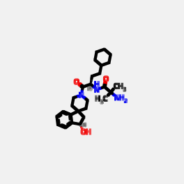 CC(C)(N)C(=O)N[C@H](CCC1CCCCC1)C(=O)N1CCC2(CC1)C[C@H](O)c1ccccc12